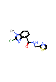 CC(C)n1c(Cl)nc2c(C(=O)NCc3nccs3)cccc21